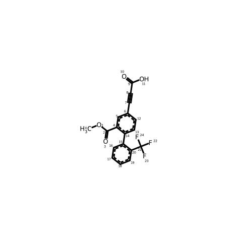 COC(=O)c1cc(C#CC(=O)O)ccc1-c1ccccc1C(F)(F)F